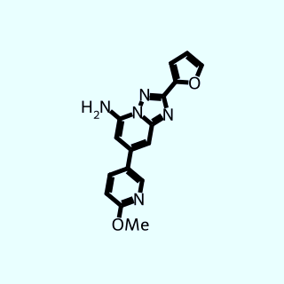 COc1ccc(-c2cc(N)n3nc(-c4ccco4)nc3c2)cn1